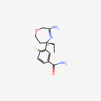 CC[C@@]1(c2cc(C(N)=O)ccc2F)CCOCC(N)=N1